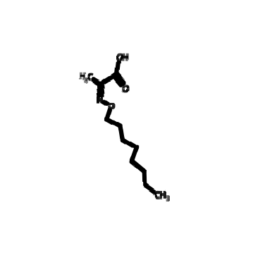 CCCCCCCCON=C(C)C(=O)O